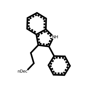 CCCCCCCCCCCCc1c(-c2ccccc2)[nH]c2ccccc12